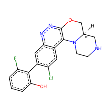 Oc1cccc(F)c1-c1cc2nnc3c(c2cc1Cl)N1CCNC[C@@H]1CO3